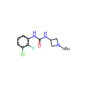 CCCCN1CC(NC(=O)Nc2cccc(Cl)c2F)C1